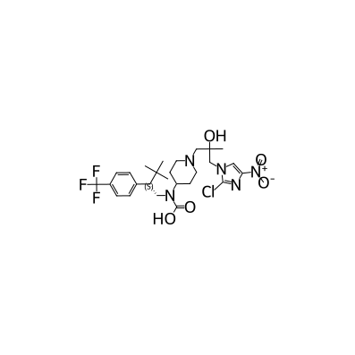 CC(O)(CN1CCC(N(C[C@H](c2ccc(C(F)(F)F)cc2)C(C)(C)C)C(=O)O)CC1)Cn1cc([N+](=O)[O-])nc1Cl